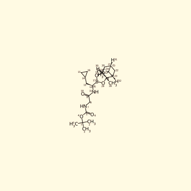 CC(C)(C)OC(=O)NCC(=O)N[C@@H](CC1CC1)B1O[C@@H]2C[C@@H]3C[C@@H](C3(C)C)[C@]2(C)O1